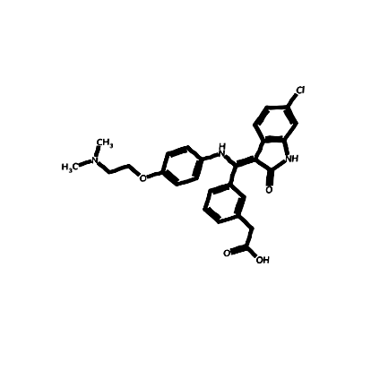 CN(C)CCOc1ccc(NC(=C2C(=O)Nc3cc(Cl)ccc32)c2cccc(CC(=O)O)c2)cc1